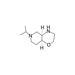 CC(C)N1CC[C@@H]2OCCN[C@@H]2C1